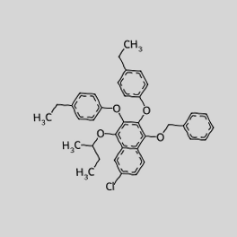 CCc1ccc(Oc2c(Oc3ccc(CC)cc3)c(OC(C)CC)c3cc(Cl)ccc3c2OCc2ccccc2)cc1